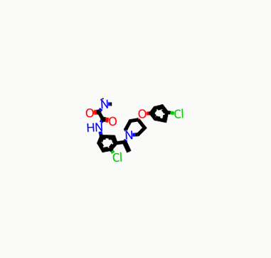 C=C(c1cc(NC(=O)C(=O)N(C)C)ccc1Cl)N1CCC(Oc2ccc(Cl)cc2)CC1